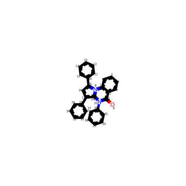 O=c1c2ccccc2n2c(-c3ccccc3)cc(-c3ccccc3)c2n1-c1ccccc1